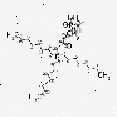 CCCCCCCC[N+](CCCCCCCC)(CCCCCCCC)CC(=O)OC.O=P([O-])(O)O